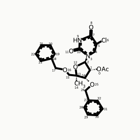 CC(=O)O[C@H]1[C@H](n2cc(Cl)c(=O)[nH]c2=O)O[C@](C)(COCc2ccccc2)[C@H]1OCc1ccccc1